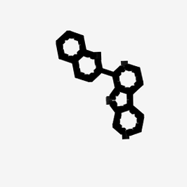 c1ccc2nc(-c3nccc4c3sc3cnccc34)ccc2c1